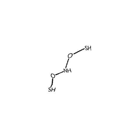 SONOS